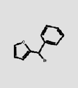 BrC(c1ccccc1)c1ccco1